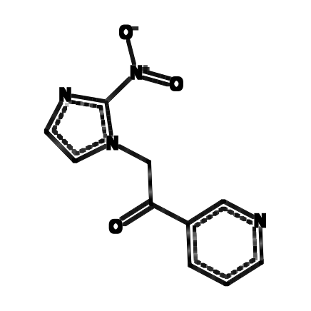 O=C(Cn1ccnc1[N+](=O)[O-])c1cccnc1